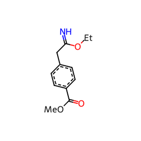 CCOC(=N)Cc1ccc(C(=O)OC)cc1